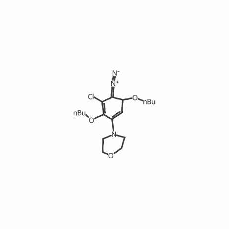 CCCCOC1=C(Cl)C(=[N+]=[N-])C(OCCCC)C=C1N1CCOCC1